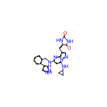 O=C1NC(=O)/C(=C\c2cnn3c(NC4CC4)cc(NCc4ccccc4-c4cn[nH]c4)nc23)N1